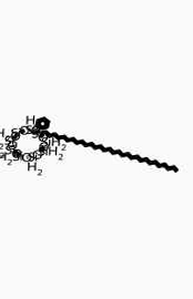 CCCCCCCCCCCCCCCCCCCCCCCCCCCCCC[Si]1(c2ccccc2)O[SiH2]O[SiH2]O[SiH2]O[SiH2]O[SiH2]O[SiH2]O[SiH2]O[SiH2]O1